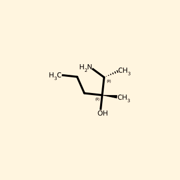 CCC[C@@](C)(O)[C@@H](C)N